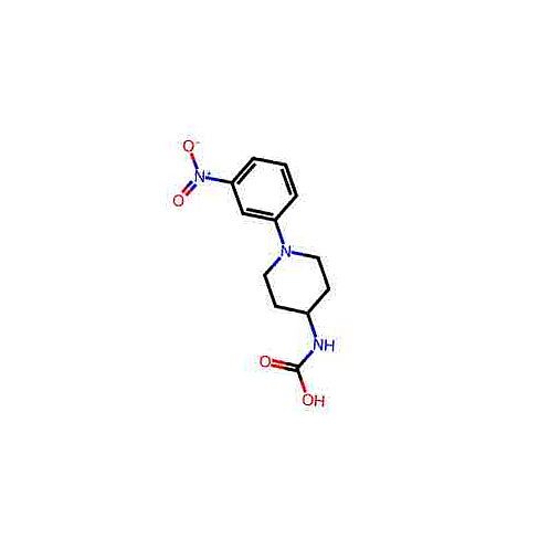 O=C(O)NC1CCN(c2cccc([N+](=O)[O-])c2)CC1